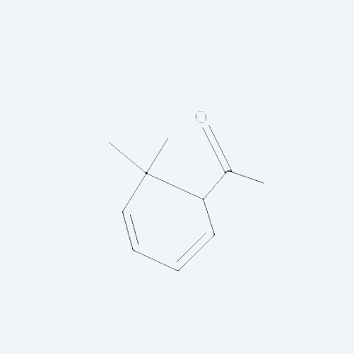 CC(=O)C1C=CC=CC1(C)C